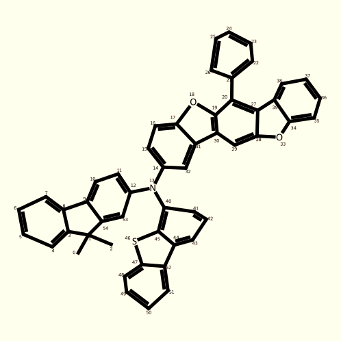 CC1(C)c2ccccc2-c2ccc(N(c3ccc4oc5c(-c6ccccc6)c6c(cc5c4c3)oc3ccccc36)c3cccc4c3sc3ccccc34)cc21